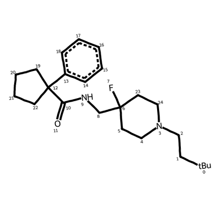 CC(C)(C)CCN1CCC(F)(CNC(=O)C2(c3ccccc3)CCCC2)CC1